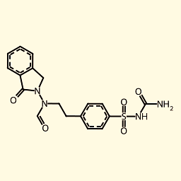 NC(=O)NS(=O)(=O)c1ccc(CCN(C=O)N2Cc3ccccc3C2=O)cc1